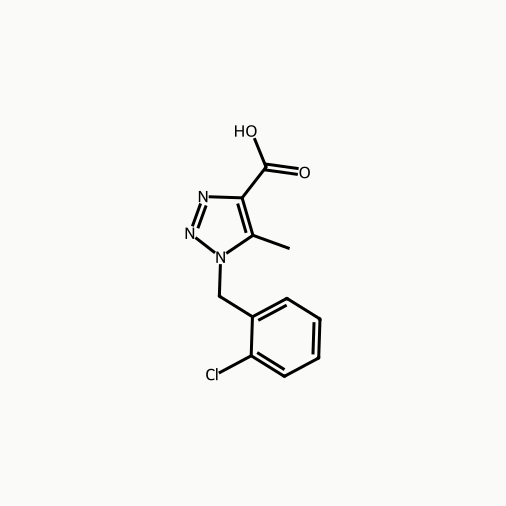 Cc1c(C(=O)O)nnn1Cc1ccccc1Cl